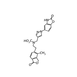 Cc1c(CCN(Cc2cnn(-c3ccc4oc(=O)[nH]c4c3)c2)C(=O)O)ccc2c1COC2=O